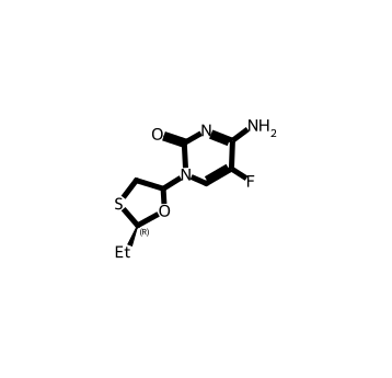 CC[C@@H]1OC(n2cc(F)c(N)nc2=O)CS1